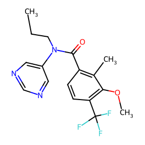 CCCN(C(=O)c1ccc(C(F)(F)F)c(OC)c1C)c1cncnc1